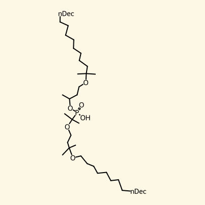 CCCCCCCCCCCCCCCCCCOC(C)(C)CCOC(C)(C)P(=O)(O)OC(C)CCOC(C)(C)CCCCCCCCCCCCCCCCCC